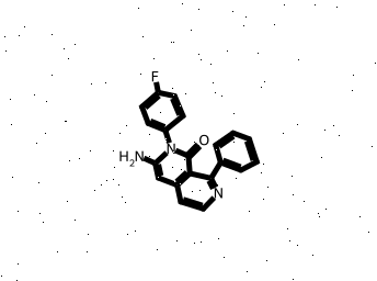 Nc1cc2ccnc(-c3ccccc3)c2c(=O)n1-c1ccc(F)cc1